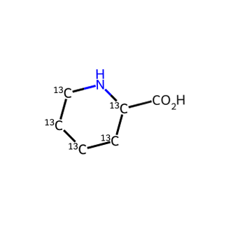 O=[13C](O)[13CH]1[13CH2][13CH2][13CH2][13CH2]N1